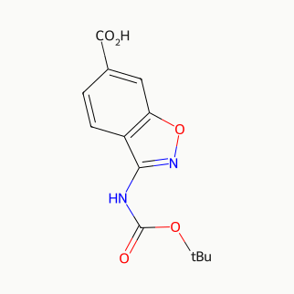 CC(C)(C)OC(=O)Nc1noc2cc(C(=O)O)ccc12